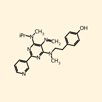 C=Nc1c(N(C)CCc2ccc(O)cc2)nc(-c2cccnc2)nc1N(C)C(C)C